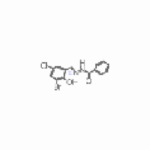 O=C(N/N=C/c1cc(Cl)cc(Br)c1O)c1ccccc1